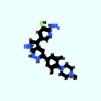 Cc1cc(-c2cc3c(-c4cnc(N)c(F)c4)c[nH]c3nn2)cc(C)c1N1CCN(C)CC1